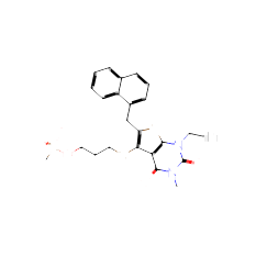 CC(C)Cn1c(=O)n(C)c(=O)c2c(SCCCOS(C)(=O)=O)c(Cc3cccc4ccccc34)sc21